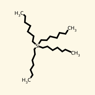 CCCCCCC[Si](CCCCCCC)(CCCCCCC)CCCCCCC